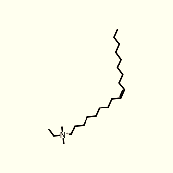 CCCCCCCC/C=C\CCCCCCCC[N+](C)(C)CC